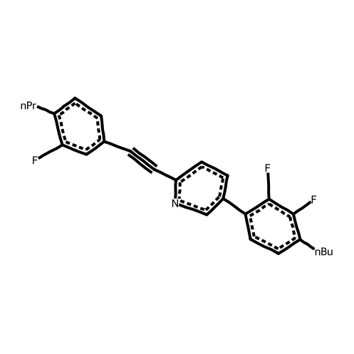 CCCCc1ccc(-c2ccc(C#Cc3ccc(CCC)c(F)c3)nc2)c(F)c1F